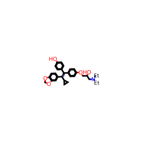 CCN(CC)CC(O)COc1ccc(/C(=C(/c2ccc3c(c2)OCO3)C2CC2)c2ccc(O)cc2)cc1